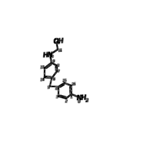 Nc1ccc(Cc2ccc(NCO)cc2)cc1